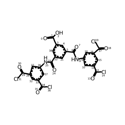 O=C(O)c1cc(C(=O)Nc2cc(C(=O)Cl)cc(C(=O)Cl)c2)cc(C(=O)Nc2cc(C(=O)Cl)cc(C(=O)Cl)c2)c1